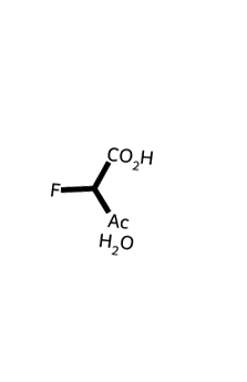 CC(=O)C(F)C(=O)O.O